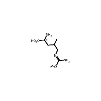 CSC(N)=NCC(C)C[C@H](N)C(=O)O